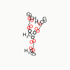 CC(c1ccc(OC(=O)CCCC(=O)CC2(C)C3CC4CC(C3)CC2C4)cc1)(c1ccc(OC(=O)CCCC(=O)OC2(C)C3CC4CC(C3)CC2C4)cc1)c1ccc(OC(=O)CCCC(=O)OC2(C)C3CC4CC(C3)CC2C4)cc1